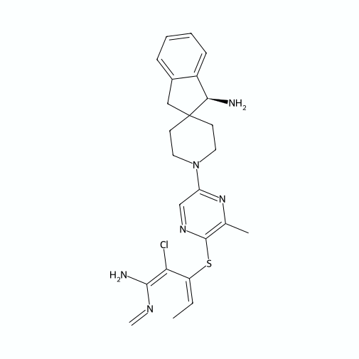 C=N/C(N)=C(Cl)\C(=C/C)Sc1ncc(N2CCC3(CC2)Cc2ccccc2[C@H]3N)nc1C